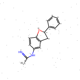 CC(=N)Nc1ccc2c(c1)CC(c1ccccc1)O2